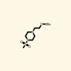 CC(C)(C)OCCN1CCN(S(C)(=O)=O)CC1